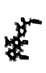 COCCC(=O)N1CCN(c2nc(C3CC3)c(-c3ccccc3COC)c(C)c2C#N)CC1C